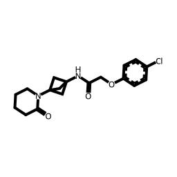 O=C(COc1ccc(Cl)cc1)NC12CC(N3CCCCC3=O)(C1)C2